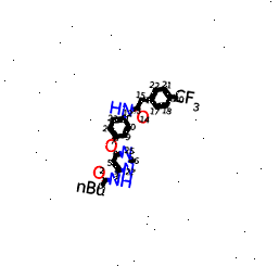 CCCCC(=O)Nc1cc(Oc2ccc(NC(=O)Cc3ccc(C(F)(F)F)cc3)cc2)ncn1